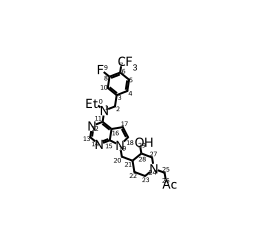 CCN(Cc1ccc(C(F)(F)F)c(F)c1)c1ncnc2c1ccn2CC1CCN(CC(C)=O)CC1O